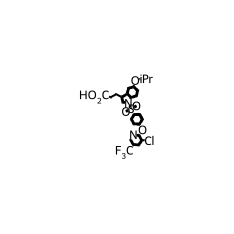 CC(C)Oc1ccc2c(c1)c(CCC(=O)O)cn2S(=O)(=O)c1ccc(Oc2ncc(C(F)(F)F)cc2Cl)cc1